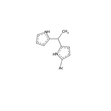 CC(=O)c1ccc(C(C)c2ccc[nH]2)[nH]1